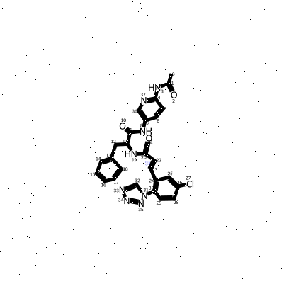 CC(=O)Nc1ccc(NC(=O)C(Cc2ccccc2)NC(=O)/C=C/c2cc(Cl)ccc2-n2cnnn2)cn1